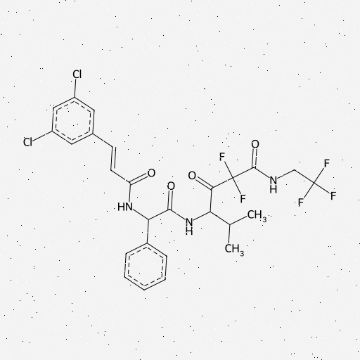 CC(C)C(NC(=O)C(NC(=O)C=Cc1cc(Cl)cc(Cl)c1)c1ccccc1)C(=O)C(F)(F)C(=O)NCC(F)(F)F